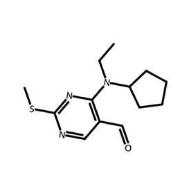 CCN(c1nc(SC)ncc1C=O)C1CCCC1